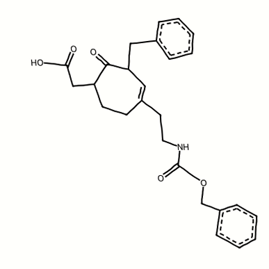 O=C(O)CC1CCC(CCNC(=O)OCc2ccccc2)=CC(Cc2ccccc2)C1=O